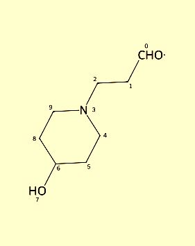 O=[C]CCN1CCC(O)CC1